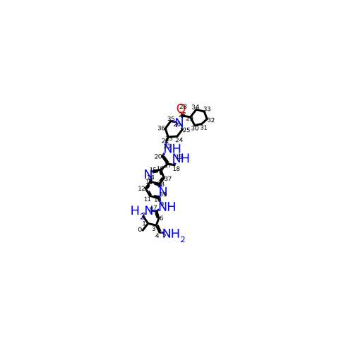 CC(C)C(=C/N)/C=C(\N)Nc1ccc2ncc(/C(C=N)=C/NCC3CCN(C(=O)C4CCCCC4)CC3)cc2n1